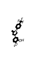 C=C1C[C@H](c2ccc(OC)c(O)c2)CN1c1ccc(C(F)(F)F)cc1